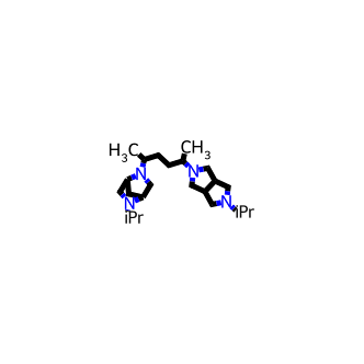 CC(C)N1CC2CN(C(C)CCC(C)N3CC4CC3CN4C(C)C)CC2C1